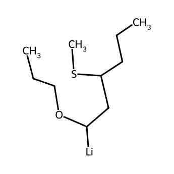 [Li][CH](CC(CCC)SC)OCCC